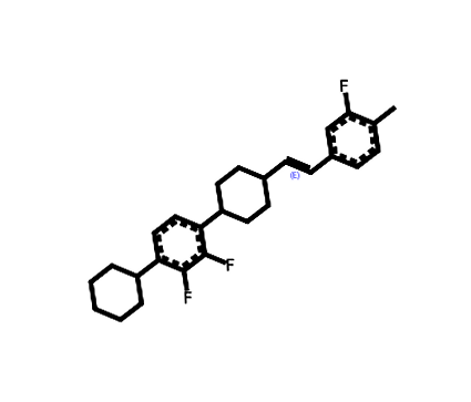 Cc1ccc(/C=C/C2CCC(c3ccc(C4CCCCC4)c(F)c3F)CC2)cc1F